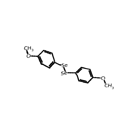 COc1ccc([Se][Se]c2ccc(OC)cc2)cc1